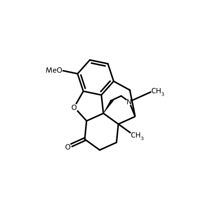 COc1ccc2c3c1OC1C(=O)CCC4(C)C(C2)N(C)CC[C@]314